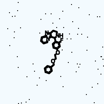 Fc1cc(OCCOCc2ccccc2)ccc1C1NCCc2nc3ccccn3c21